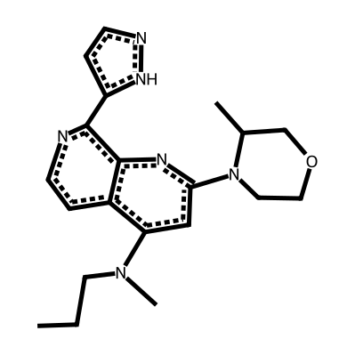 CCCN(C)c1cc(N2CCOCC2C)nc2c(-c3ccn[nH]3)nccc12